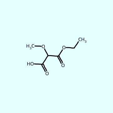 CCOC(=O)C(OC)C(=O)O